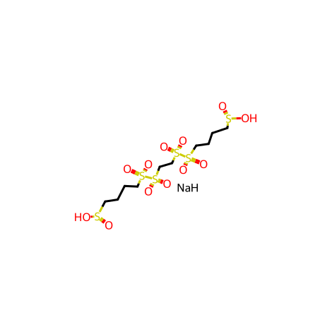 O=S(O)CCCCS(=O)(=O)S(=O)(=O)CCS(=O)(=O)S(=O)(=O)CCCCS(=O)O.[NaH]